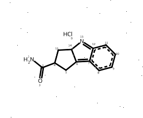 Cl.NC(=O)C1CC2=c3ccccc3=NC2C1